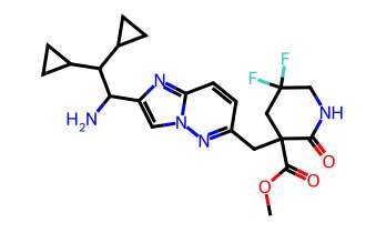 COC(=O)C1(Cc2ccc3nc(C(N)C(C4CC4)C4CC4)cn3n2)CC(F)(F)CNC1=O